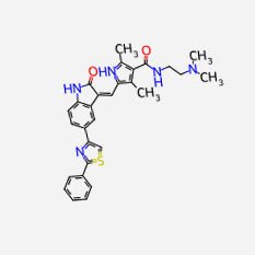 Cc1[nH]c(C=C2C(=O)Nc3ccc(-c4csc(-c5ccccc5)n4)cc32)c(C)c1C(=O)NCCN(C)C